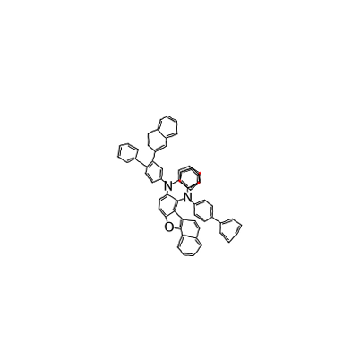 c1ccc(-c2ccc(N(c3ccccc3)c3c(N(c4ccccc4)c4ccc(-c5ccccc5)c(-c5ccc6ccccc6c5)c4)ccc4oc5c6ccccc6ccc5c34)cc2)cc1